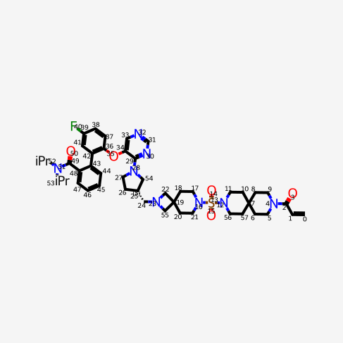 C=CC(=O)N1CCC2(CC1)CCN(S(=O)(=O)N1CCC3(CC1)CN(C[C@@H]1CCN(c4ncncc4Oc4ccc(F)cc4-c4ccccc4C(=O)N(C(C)C)C(C)C)C1)C3)CC2